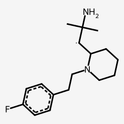 CC(C)(N)[CH]C1CCCCN1CCc1ccc(F)cc1